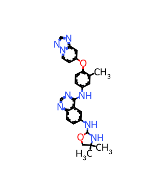 Cc1cc(Nc2ncnc3ccc(NC4NC(C)(C)CO4)cc23)ccc1Oc1ccn2ncnc2c1